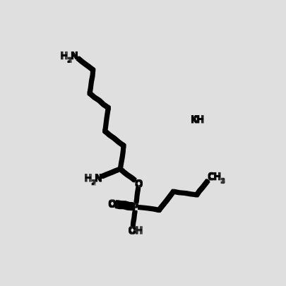 CCCCP(=O)(O)OC(N)CCCCCN.[KH]